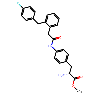 COC(=O)[C@H](N)Cc1ccc(NC(=O)Cc2ccccc2Cc2ccc(F)cc2)cc1